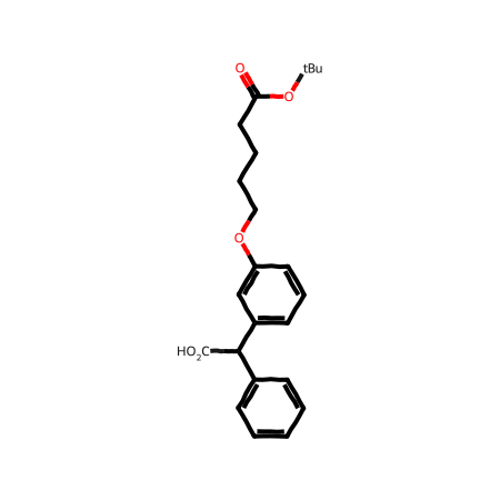 CC(C)(C)OC(=O)CCCCOc1cccc(C(C(=O)O)c2ccccc2)c1